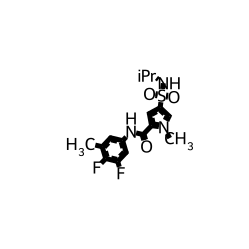 Cc1cc(NC(=O)c2cc(S(=O)(=O)NC(C)C)cn2C)cc(F)c1F